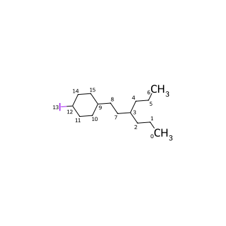 CCCC(CCC)CCC1CCC(I)CC1